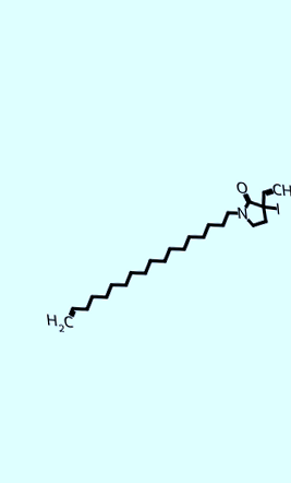 C=CCCCCCCCCCCCCCCCCN1CCC(I)(C=C)C1=O